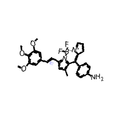 COc1cc(/C=C/c2cc(C)c3n2[B-](F)(F)[N+]2=CC=CC2=C3c2ccc(N)cc2)cc(OC)c1OC